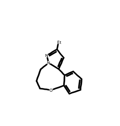 CCc1cc2n(n1)CCCOc1ccccc1-2